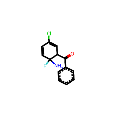 NC1(F)C=CC(Cl)=CC1C(=O)c1ccccc1